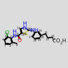 Cc1cccc(Cl)c1NC(=O)C1=CNC(Nc2cccc(CCCC(=O)O)c2)S1